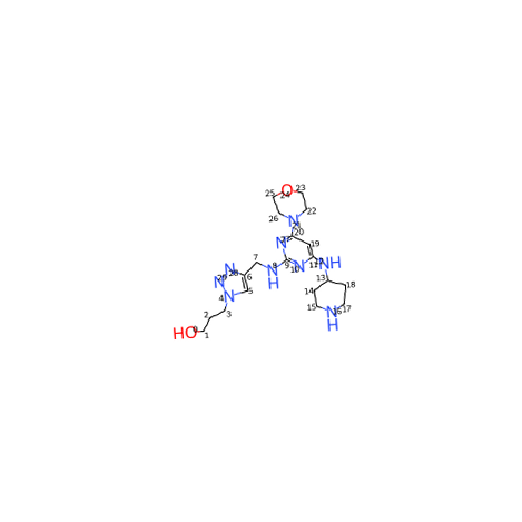 OCCCn1cc(CNc2nc(NC3CCNCC3)cc(N3CCOCC3)n2)nn1